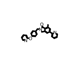 Cc1cc(-c2ccccn2)cc2c1C(=O)N(Cc1ccc(Oc3ccccn3)cc1)C2